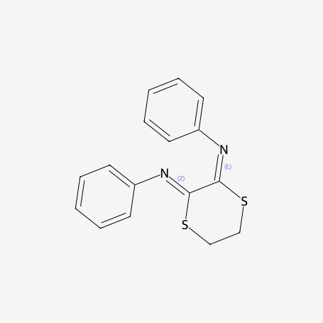 c1ccc(/N=C2\SCCS\C2=N\c2ccccc2)cc1